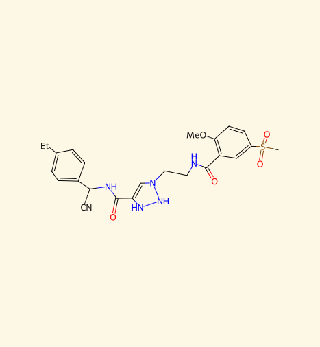 CCc1ccc(C(C#N)NC(=O)C2=CN(CCNC(=O)c3cc(S(C)(=O)=O)ccc3OC)NN2)cc1